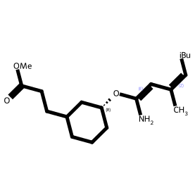 CCC(C)/C=C(C)\C=C(/N)O[C@@H]1CCCC(CCC(=O)OC)C1